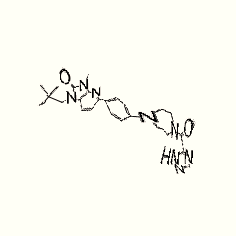 Cn1c(=O)n(CC(C)(C)C)c2ccc(-c3ccc(N4CCN(C(=O)c5ncn[nH]5)CC4)cc3)nc21